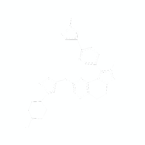 CC(=O)N1CCC(n2cc(Nc3ncc4c(n3)-c3c(nn(C)c3-c3ccc(-c5cnn(C)c5)nc3)CC4)cn2)CC1